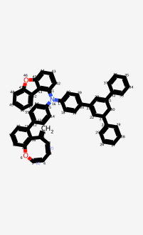 C=C1/C=C\C=C/Oc2cccc(-c3ccc(N(c4ccc(C5=CC(c6ccccc6)CC(c6ccccc6)=C5)cc4)c4cccc5oc6ccccc6c45)cc3)c21